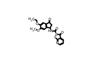 CCOc1cc2c(cc1OC)C(NC(=O)n1sc3ncccc3c1=O)CC2=O